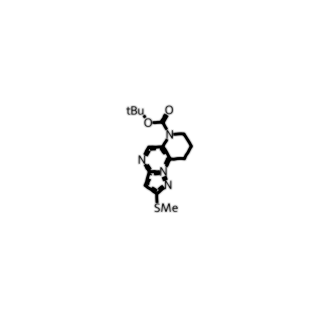 CSc1cc2ncc3c(n2n1)CCCN3C(=O)OC(C)(C)C